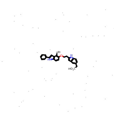 CCCc1c(OCCc2cc3cc(CC(=O)O)ccc3[nH]2)ccc2[nH]c(-c3ccccc3)cc12